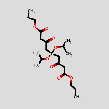 CCCOC(=O)CC(=O)[CH2][Ti]([CH2]C(=O)CC(=O)OCCC)([O]C(C)C)[O]C(C)C